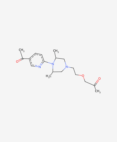 CC(=O)COCCN1CC(C)N(c2ccc(C(C)=O)cn2)C(C)C1